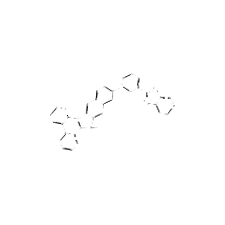 CCn1c(-c2cccc(-c3ccc4cc5c(cc4c3)C(C)(C)c3c-5c4ccccc4c4ccccc34)c2)nc2ccccc21